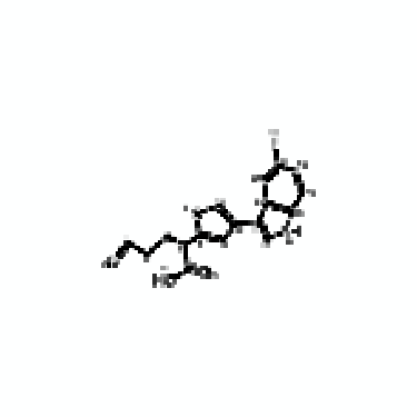 O=CCCC(C(=O)O)c1cc(-c2c[nH]c3ccc(F)cc23)cs1